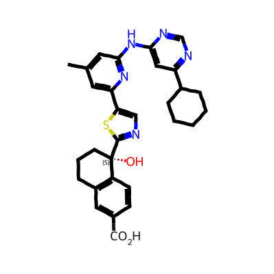 Cc1cc(Nc2cc(C3CCCCC3)ncn2)nc(-c2cnc([C@]3(O)CCCc4cc(C(=O)O)ccc43)s2)c1